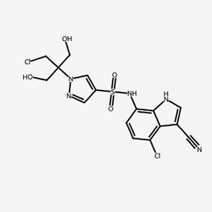 N#Cc1c[nH]c2c(NS(=O)(=O)c3cnn(C(CO)(CO)CCl)c3)ccc(Cl)c12